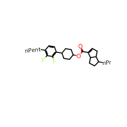 CCCCCc1ccc(C2CCC(OC(=O)C3=CCC4C(CCC)CCC34)CC2)c(F)c1F